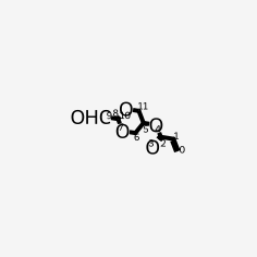 C=CC(=O)OC1COC(C=O)OC1